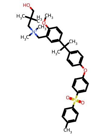 COc1ccc(C(C)(C)c2ccc(Oc3ccc(S(=O)(=O)c4ccc(C)cc4)cc3)cc2)cc1C[N+](C)(C)CC(C)(C)CO